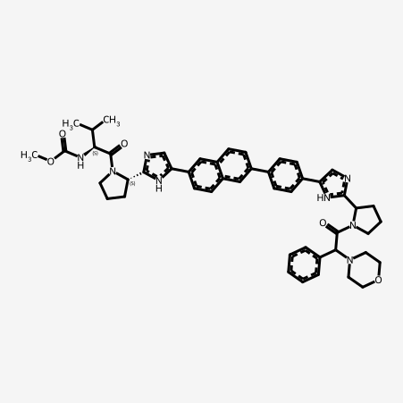 COC(=O)N[C@H](C(=O)N1CCC[C@H]1c1ncc(-c2ccc3cc(-c4ccc(-c5cnc(C6CCCN6C(=O)C(c6ccccc6)N6CCOCC6)[nH]5)cc4)ccc3c2)[nH]1)C(C)C